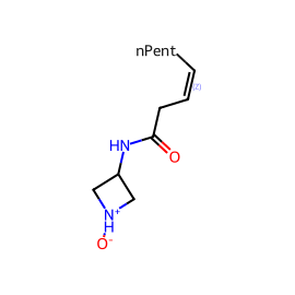 CCCCC/C=C\CC(=O)NC1C[NH+]([O-])C1